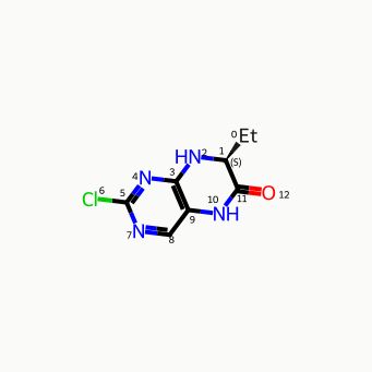 CC[C@@H]1Nc2nc(Cl)ncc2NC1=O